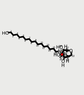 OCCCCCCCCCCCCCCCCNC(=S)N1[C@H]2CO[C@H]1[C@H](O)[C@@H](O)[C@@H]2O